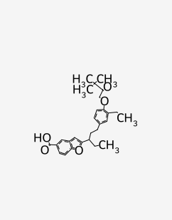 CCc1cc(CCC(CC)c2cc3cc(C(=O)O)ccc3o2)ccc1OCC(=O)C(C)(C)C